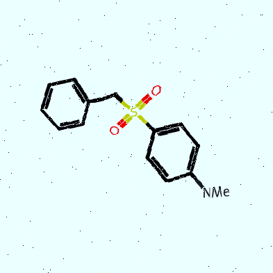 CNc1ccc(S(=O)(=O)Cc2ccccc2)cc1